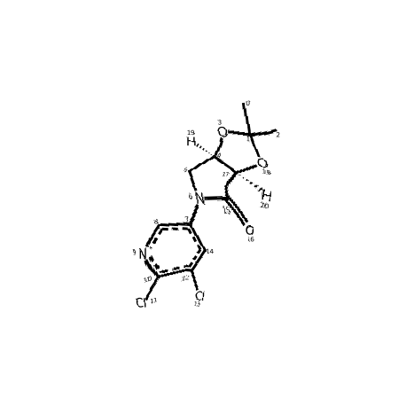 CC1(C)O[C@@H]2CN(c3cnc(Cl)c(Cl)c3)C(=O)[C@@H]2O1